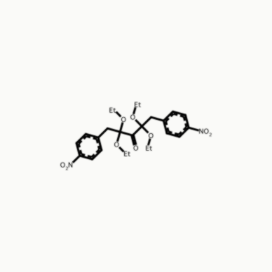 CCOC(Cc1ccc([N+](=O)[O-])cc1)(OCC)C(=O)C(Cc1ccc([N+](=O)[O-])cc1)(OCC)OCC